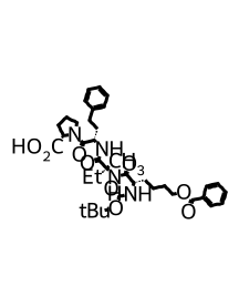 CC[C@](C)(NC(=O)[C@H](CCCCOC(=O)c1ccccc1)NC(=O)OC(C)(C)C)C(=O)N[C@@H](CCc1ccccc1)C(=O)N1CCC[C@@H]1C(=O)O